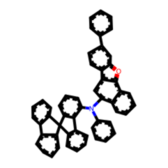 c1ccc(-c2ccc3c(c2)oc2c4ccccc4c(N(c4ccccc4)c4cccc5c4-c4ccccc4C54c5ccccc5-c5ccccc54)cc32)cc1